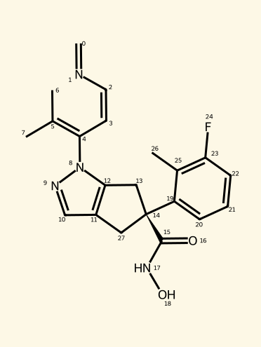 C=N/C=C\C(=C(C)C)n1ncc2c1C[C@](C(=O)NO)(c1cccc(F)c1C)C2